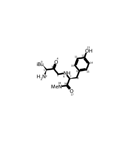 CC[C@H](C)[C@H](N)C(=O)CN[C@@H](Cc1ccc(O)cc1)C(=O)NC